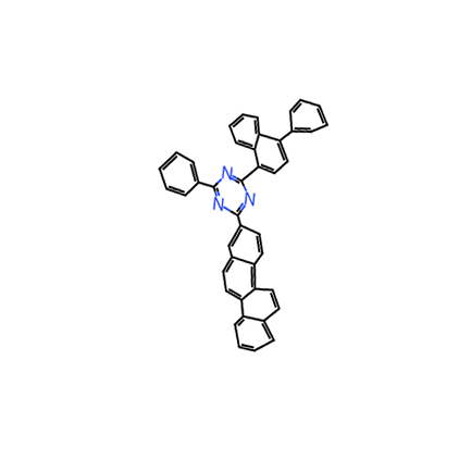 c1ccc(-c2nc(-c3ccc4c(ccc5c6ccccc6ccc45)c3)nc(-c3ccc(-c4ccccc4)c4ccccc34)n2)cc1